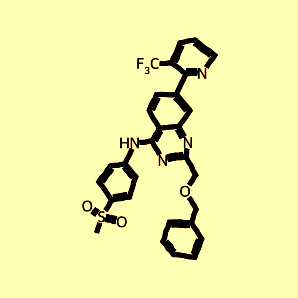 CS(=O)(=O)c1ccc(Nc2nc(COCc3ccccc3)nc3cc(-c4ncccc4C(F)(F)F)ccc23)cc1